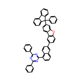 c1ccc(-c2nc(-c3ccccc3)nc(-c3cccc4cc(-c5ccc6oc7cc(C8(c9ccccc9)c9ccccc9-c9ccccc98)ccc7c6c5)ccc34)n2)cc1